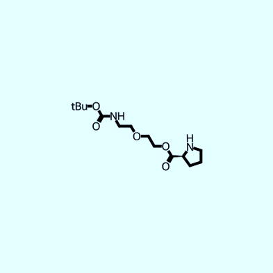 CC(C)(C)OC(=O)NCCOCCOC(=O)[C@@H]1CCCN1